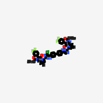 COC(=O)N[C@H](C(=O)N1[C@@H]2C[C@@H]2C[C@H]1c1ncc(-c2ccc(-c3ccc(-c4[nH]c([C@@H]5C[C@H]6C[C@H]6N5C(=O)[C@@H](NC(=O)OC)C5CCC(F)(F)CC5)nc4Cl)cc3)cc2)[nH]1)C1CCC(F)(F)CC1